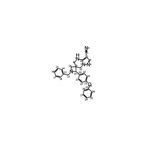 N#Cc1cnn2c1NCC1(CN(Cc3ccccc3)C1c1ccc(Oc3ccccc3)cc1)C2